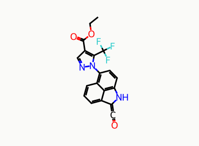 CCOC(=O)c1cnn(-c2ccc3[nH]c(=C=O)c4cccc2c34)c1C(F)(F)F